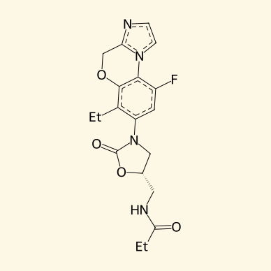 CCC(=O)NC[C@H]1CN(c2cc(F)c3c(c2CC)OCc2nccn2-3)C(=O)O1